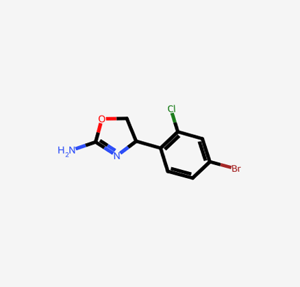 NC1=NC(c2ccc(Br)cc2Cl)CO1